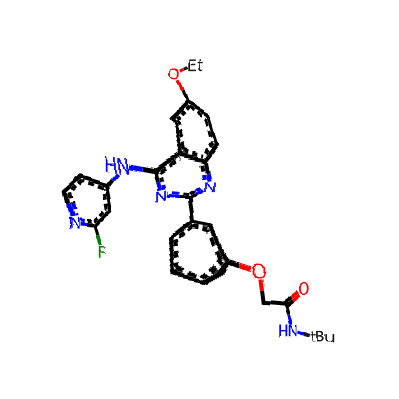 CCOc1ccc2nc(-c3cccc(OCC(=O)NC(C)(C)C)c3)nc(Nc3ccnc(F)c3)c2c1